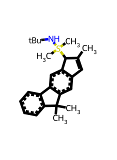 CC1=Cc2cc3c(cc2C1S(C)(C)NC(C)(C)C)-c1ccccc1C3(C)C